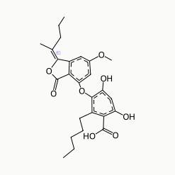 CCCCCc1c(Oc2cc(OC)cc3c2C(=O)O/C3=C(\C)CCC)c(O)cc(O)c1C(=O)O